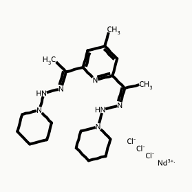 CC(=NNN1CCCCC1)c1cc(C)cc(C(C)=NNN2CCCCC2)n1.[Cl-].[Cl-].[Cl-].[Nd+3]